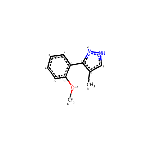 Cc1c[nH]nc1-c1ccccc1OC(F)(F)F